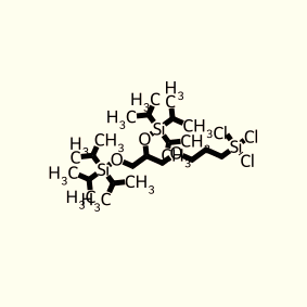 CC(C)[Si](OCC(COCCC[Si](Cl)(Cl)Cl)O[Si](C(C)C)(C(C)C)C(C)C)(C(C)C)C(C)C